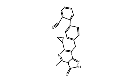 Cc1nc(C2CC2)c(Cc2ccc(-c3ccccc3C#N)cc2)c2n[nH]c(=O)n12